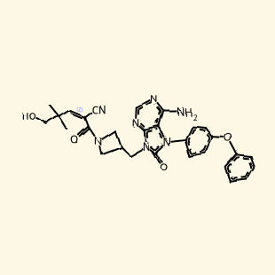 CC(C)(/C=C(/C#N)C(=O)N1CC(Cn2c(=O)n(-c3ccc(Oc4ccccc4)cc3)c3c(N)ncnc32)C1)CO